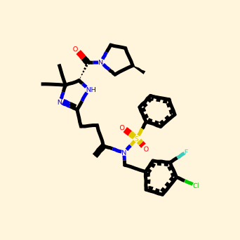 C=C(CCC1=NC(C)(C)[C@H](C(=O)N2CC[C@@H](C)C2)N1)N(Cc1ccc(Cl)c(F)c1)S(=O)(=O)c1ccccc1